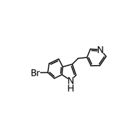 Brc1ccc2c(Cc3cccnc3)c[nH]c2c1